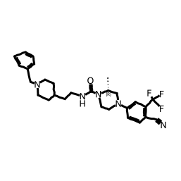 C[C@@H]1CN(c2ccc(C#N)c(C(F)(F)F)c2)CCN1C(=O)NCCC1CCN(Cc2ccccc2)CC1